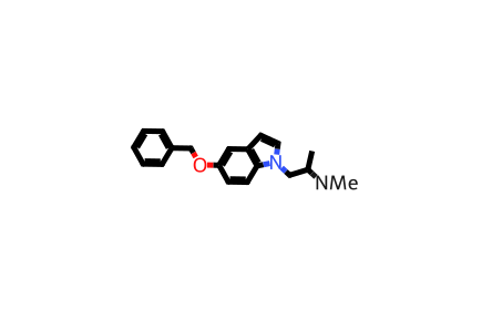 CNC(C)Cn1ccc2cc(OCc3ccccc3)ccc21